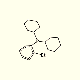 [CH2]Cc1ccccc1P(C1CCCCC1)C1CCCCC1